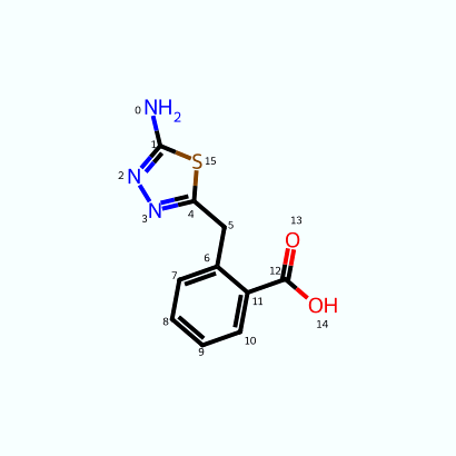 Nc1nnc(Cc2ccccc2C(=O)O)s1